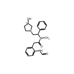 CN(C(=O)Cc1ccccc1NC=O)C(CN1CC[C@@H](O)C1)c1ccccc1